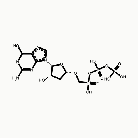 NC1=Nc2c(ncn2[C@@H]2O[C@H](OCP(=O)(O)OP(=O)(O)OP(=O)(O)O)C[C@@H]2O)C(O)N1